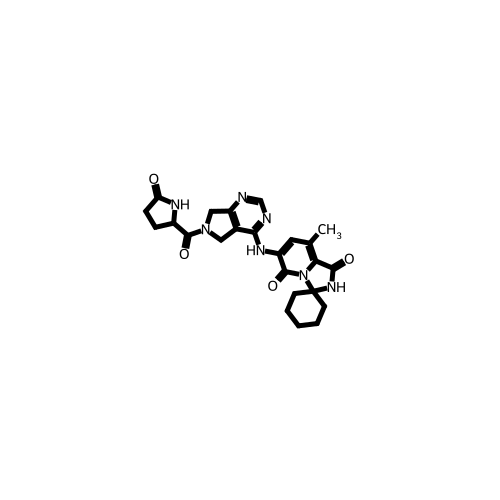 Cc1cc(Nc2ncnc3c2CN(C(=O)C2CCC(=O)N2)C3)c(=O)n2c1C(=O)NC21CCCCC1